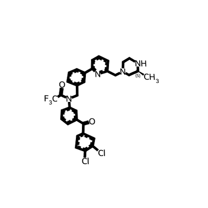 C[C@H]1CN(Cc2cccc(-c3cccc(CN(C(=O)C(F)(F)F)c4cccc(C(=O)c5ccc(Cl)c(Cl)c5)c4)c3)n2)CCN1